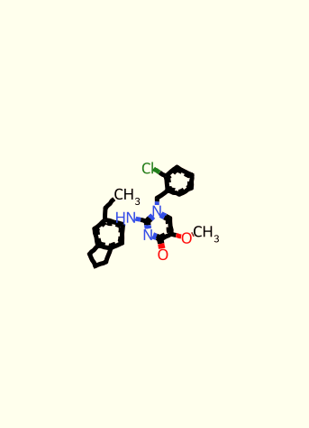 CCc1cc2c(cc1Nc1nc(=O)c(OC)cn1Cc1ccccc1Cl)CCC2